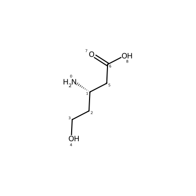 N[C@@H](CCO)CC(=O)O